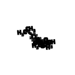 CC(C)C#Cc1ccc(N2CC(CC(C)(C(=O)NO)S(C)(=O)=O)OC2=O)cc1